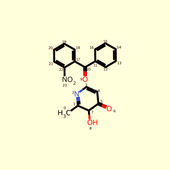 CC1=NC=CC(=O)C1O.O=C(c1ccccc1)c1ccccc1[N+](=O)[O-]